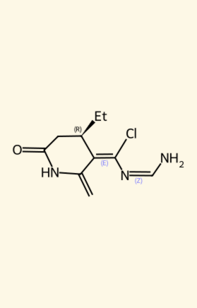 C=C1NC(=O)C[C@@H](CC)/C1=C(Cl)/N=C\N